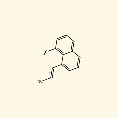 Cc1cccc2cccc(/C=C/C#N)c12